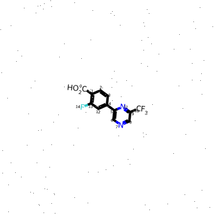 O=C(O)c1ccc(-c2cncc(C(F)(F)F)n2)cc1F